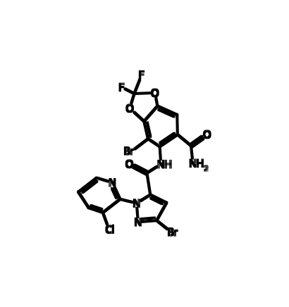 NC(=O)c1cc2c(c(Br)c1NC(=O)c1cc(Br)nn1-c1ncccc1Cl)OC(F)(F)O2